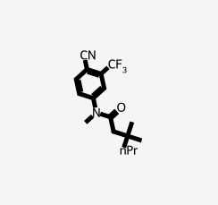 CCCC(C)(C)CC(=O)N(C)c1ccc(C#N)c(C(F)(F)F)c1